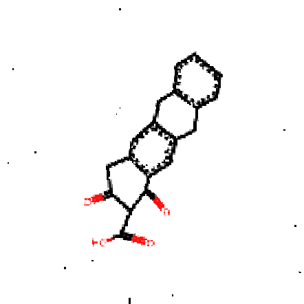 O=C(O)C1C(=O)Cc2cc3c(cc2C1=O)Cc1ccccc1C3